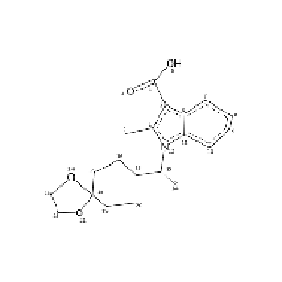 Cc1c(C(=O)O)c2ccccc2n1[C@H](C)C1CCC2(CC1)OCCO2